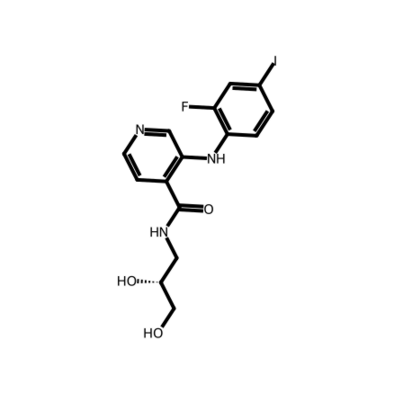 O=C(NC[C@@H](O)CO)c1ccncc1Nc1ccc(I)cc1F